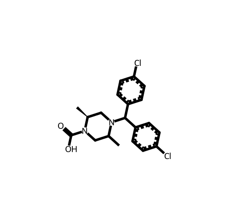 CC1CN(C(=O)O)[C@@H](C)CN1C(c1ccc(Cl)cc1)c1ccc(Cl)cc1